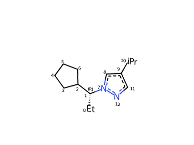 CC[C@H](C1CCCC1)n1cc(C(C)C)cn1